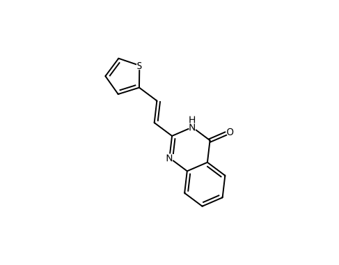 O=c1[nH]c(C=Cc2cccs2)nc2ccccc12